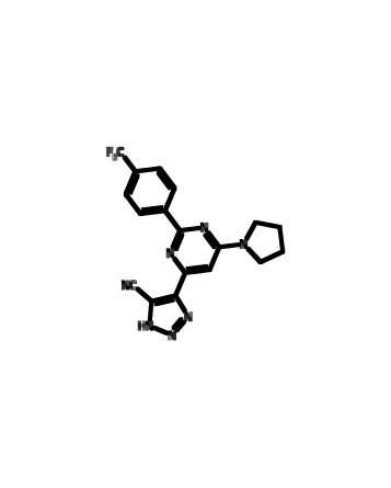 N#Cc1[nH]nnc1-c1cc(N2CCCC2)nc(-c2ccc(C(F)(F)F)cc2)n1